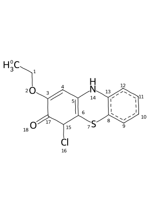 CCOC1=CC2=C(Sc3ccccc3N2)C(Cl)C1=O